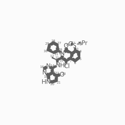 CCC[S@+]([O-])c1cccc2c(Cl)c([C@H](C)Nc3ncnc4[nH]ccc(=O)c34)n(-c3ccccc3)c(=O)c12